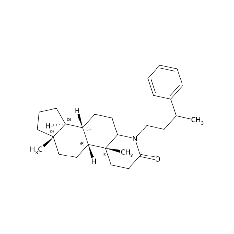 CC(CCN1C(=O)CC[C@@]2(C)C1CC[C@@H]1[C@H]2CC[C@]2(C)CCC[C@@H]12)c1ccccc1